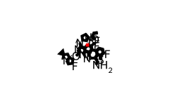 C=CC(=O)N1CC[C@@H](N(C)c2nc(OC[C@]34C[C@@H](F)CN3CC3(CC3)C4)nc3c(F)c(-c4ccc(F)c5sc(N)c(C#N)c45)c(C(F)(F)F)cc23)[C@H]1C